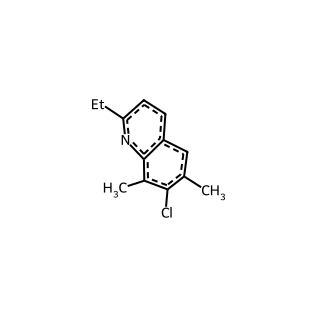 CCc1ccc2cc(C)c(Cl)c(C)c2n1